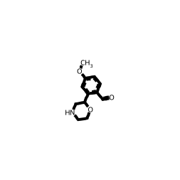 COc1ccc(C=O)c(C2CNCCO2)c1